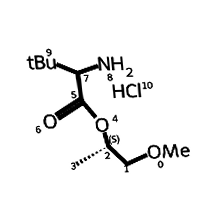 COC[C@H](C)OC(=O)C(N)C(C)(C)C.Cl